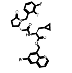 O=C(C[C@@H]1CCC(=O)N1Cc1cccc(F)c1F)N[C@@H](CC1CC1)C(=O)OCc1cc(Br)cc2cccnc12